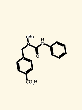 CCCCN(Cc1ccc(C(=O)O)cc1)C(=O)Nc1ccccc1